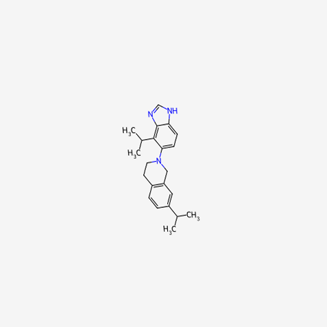 CC(C)c1ccc2c(c1)CN(c1ccc3[nH]cnc3c1C(C)C)CC2